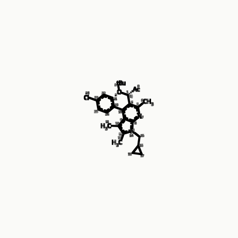 CC(=O)[C@@H](OC(C)(C)C)c1c(C)nc2c(c(C)c(C)n2CC2CC2)c1-c1ccc(Cl)cc1